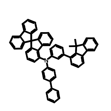 CC1(C)c2ccccc2-c2cccc(-c3cccc(N(c4ccc(-c5ccccc5)cc4)c4cccc5c4-c4ccccc4C54c5ccccc5-c5ccccc54)c3)c21